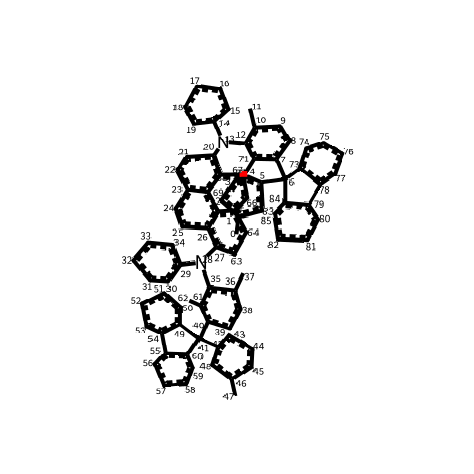 Cc1cccc(C2(c3ccc(C)c(N(c4ccccc4)c4ccc5ccc6c(N(c7ccccc7)c7c(C)ccc(C8(c9cccc(C)c9)c9ccccc9-c9ccccc98)c7C)ccc7ccc4c5c76)c3C)c3ccccc3-c3ccccc32)c1